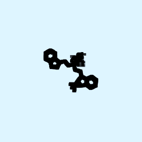 CC[C]([Zr+2])(CCC1C=Cc2ccccc21)CCC1C2=C(c3ccccc31)[Si]2(C)C.[Cl-].[Cl-]